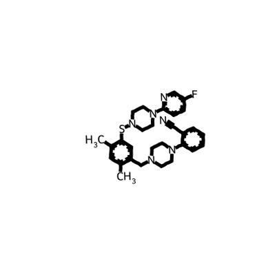 Cc1cc(C)c(SN2CCN(c3ccc(F)cn3)CC2)cc1CN1CCN(c2ccccc2C#N)CC1